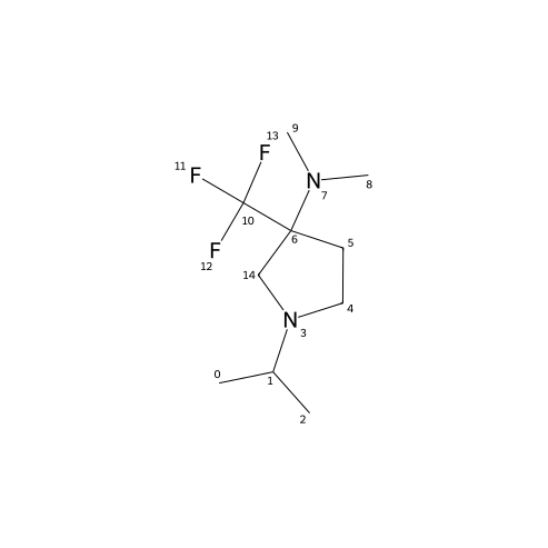 CC(C)N1CCC(N(C)C)(C(F)(F)F)C1